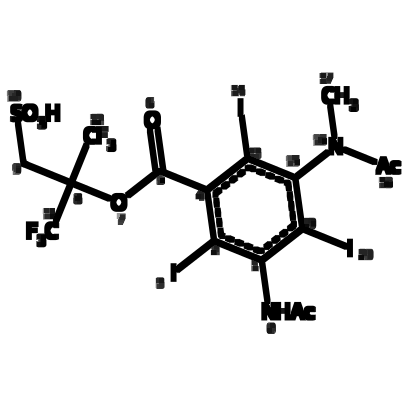 CC(=O)Nc1c(I)c(C(=O)OC(CS(=O)(=O)O)(C(F)(F)F)C(F)(F)F)c(I)c(N(C)C(C)=O)c1I